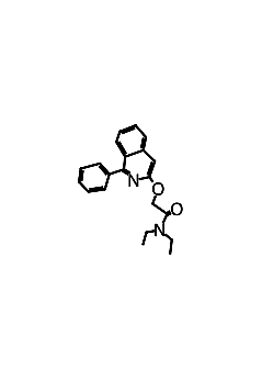 CCN(CC)C(=O)COc1cc2ccccc2c(-c2ccccc2)n1